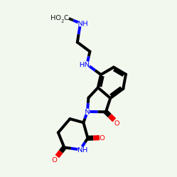 O=C(O)NCCNc1cccc2c1CN(C1CCC(=O)NC1=O)C2=O